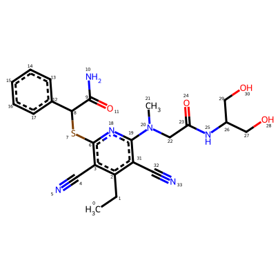 CCc1c(C#N)c(SC(C(N)=O)c2ccccc2)nc(N(C)CC(=O)NC(CO)CO)c1C#N